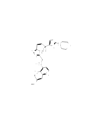 COc1cnc2c(NCc3nnc4ccc(-c5csc(N6CCOCC6)n5)nn34)ccnc2c1